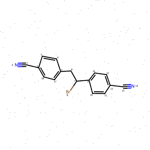 N#Cc1ccc(CC(Br)c2ccc(C#N)cc2)cc1